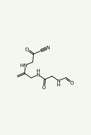 C=C(CNC(=O)CNC=O)NCC(=O)C#N